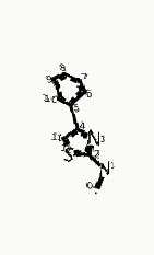 [CH]=Nc1nc(-c2ccccc2)cs1